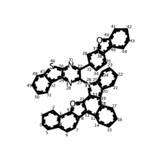 c1ccc2c(c1)ccc1c2oc2c1c1ccccc1c1c3ccccc3n(-c3nc4c(nc3-c3ccc5c(c3)oc3ccccc35)sc3ccccc34)c21